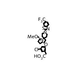 COC[C@@H]1CCCN1C1(CCOc2cc(Cl)cc(CC(=O)O)c2)CCN(c2nc3ccc(C(F)(F)F)cc3s2)CC1